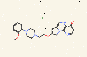 COc1ccccc1N1CCN(CCOC2=CC3=CNC4=C(N=CCC4=O)N3C2)CC1.Cl